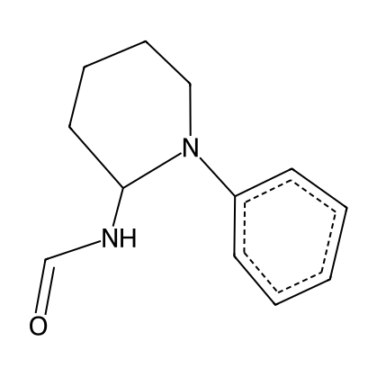 O=CNC1CCCCN1c1ccccc1